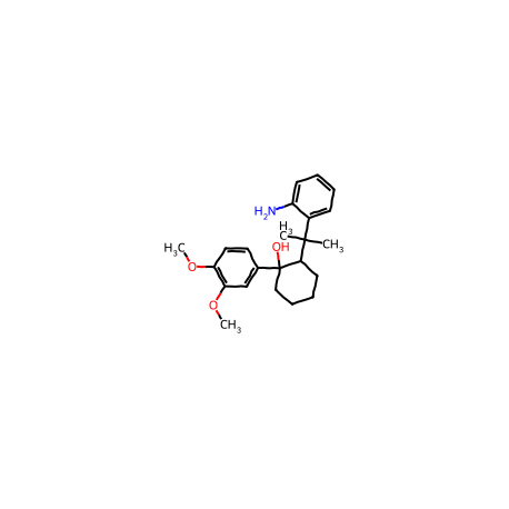 COc1ccc(C2(O)CCCCC2C(C)(C)c2ccccc2N)cc1OC